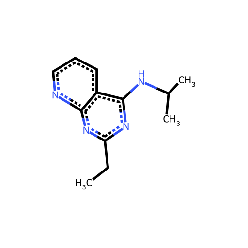 CCc1nc(NC(C)C)c2cccnc2n1